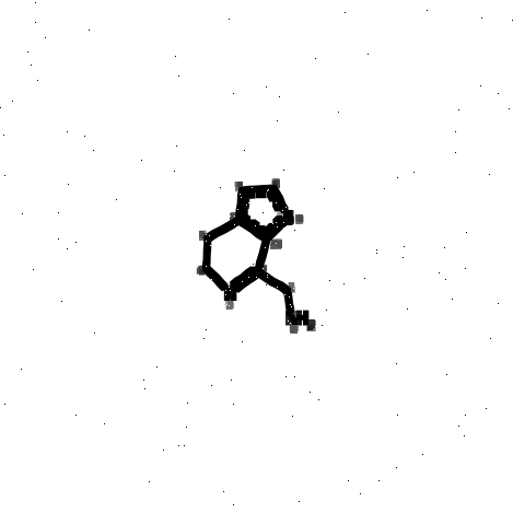 NCC1=NCCc2ccsc21